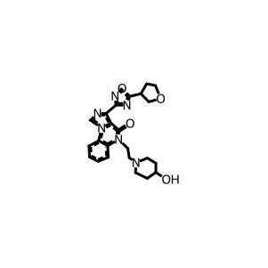 O=c1c2c(-c3noc(C4CCOC4)n3)ncn2c2ccccc2n1CCN1CCC(O)CC1